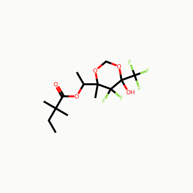 CCC(C)(C)C(=O)OC(C)C1(C)OCOC(O)(C(F)(F)F)C1(F)F